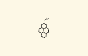 BrCc1cc2ccc3cccc4ccc(c1)c2c34